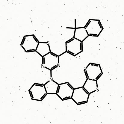 CC1(C)c2ccccc2-c2ccc(-c3nc(-n4c5ccccc5c5cc6ccc7sc8ccccc8c7c6cc54)nc4c3sc3ccccc34)cc21